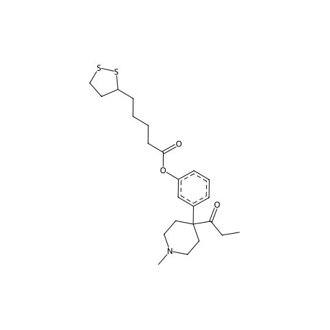 CCC(=O)C1(c2cccc(OC(=O)CCCCC3CCSS3)c2)CCN(C)CC1